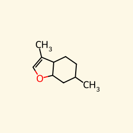 CC1=COC2CC(C)CCC12